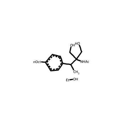 CCCCCCCCc1ccc(C(C)C(CO)(CO)NC(C)=O)cc1.CCO